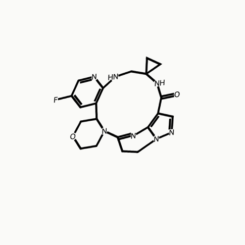 O=C1NC2(CC2)CNc2ncc(F)cc2C2COCCN2C2=Nc3c1cnn3CC2